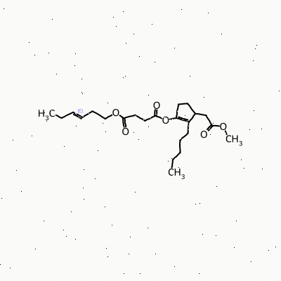 CC/C=C/CCOC(=O)CCC(=O)OC1=C(CCCCC)C(CC(=O)OC)CC1